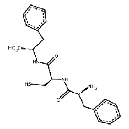 N[C@@H](Cc1ccccc1)C(=O)N[C@@H](CS)C(=O)N[C@@H](Cc1ccccc1)C(=O)O